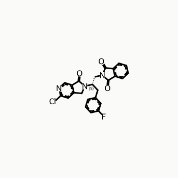 O=C1c2ccccc2C(=O)N1C[C@H](Cc1cccc(F)c1)N1Cc2cc(Cl)ncc2C1=O